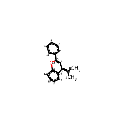 CC(C)=C1C=C(c2ccccc2)Oc2ccccc21